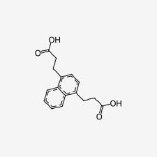 O=C(O)CCc1ccc(CCC(=O)O)c2ccccc12